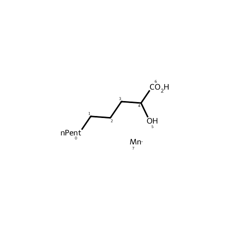 CCCCCCCCC(O)C(=O)O.[Mn]